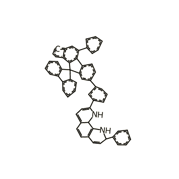 C1=CC2=C(NC(c3ccccc3)C=C2)C2NC(c3cccc(-c4ccc5c(c4)C4(c6ccccc6-c6ccccc64)c4c-5c(-c5ccccc5)cc5ccccc45)c3)=CC=C12